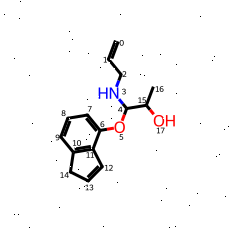 C=CCNC(Oc1cccc2c1C=CC2)C(C)O